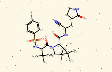 CC(C)(C)C(NS(=O)(=O)c1ccc(F)cc1)C(=O)N1C[C@H]2[C@@H]([C@H]1C(=O)NC(C#N)C[C@@H]1CCNC1=O)C2(C)C